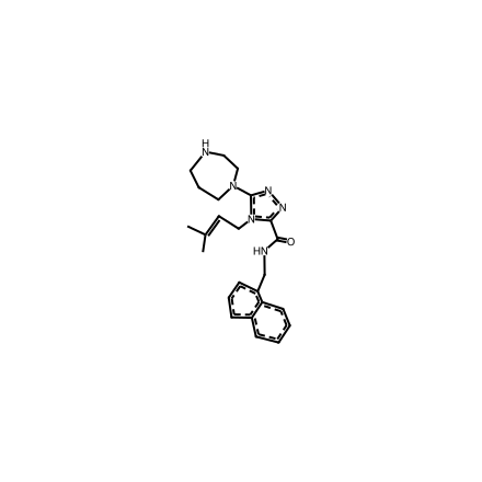 CC(C)=CCn1c(C(=O)NCc2cccc3ccccc23)nnc1N1CCCNCC1